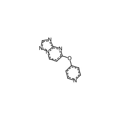 c1cc(Oc2ccn3ncnc3n2)ccn1